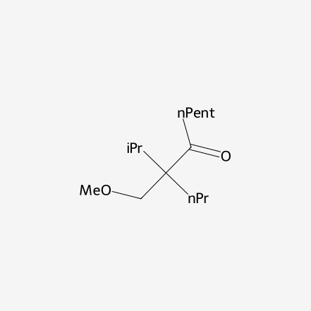 CCCCCC(=O)C(CCC)(COC)C(C)C